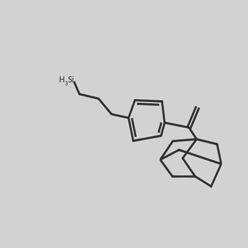 C=C(c1ccc(CCC[SiH3])cc1)C12CC3CC(CC(C3)C1)C2